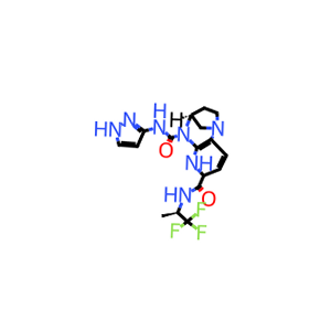 C[C@@H](NC(=O)C1C=CC2=C(N1)N(C(=O)Nc1cc[nH]n1)[C@H]1CCN2C1)C(F)(F)F